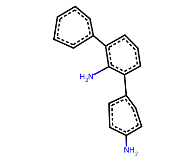 Nc1ccc(-c2cccc(-c3ccccc3)c2N)cc1